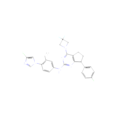 COc1cc(Nc2nc3c(c(N4CC(F)(F)C4)n2)CCC3c2ccc(Cl)cc2)ccc1-n1cnc(Cl)c1